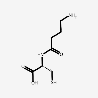 NCCCC(=O)N[C@H](CS)C(=O)O